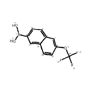 OB(O)c1ccc2cc(OC(F)(F)F)ccc2c1